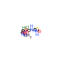 COc1nccc2cccc(NC(=O)[C@]3(O)CC[C@@H](NCc4ccc5c(n4)NC(=O)CS5)CC3)c12.Cl